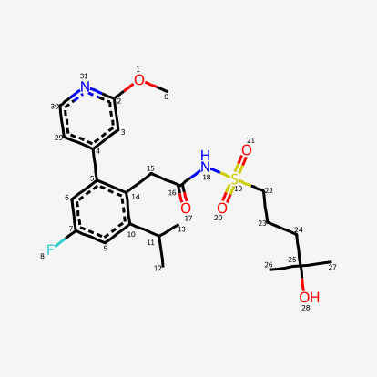 COc1cc(-c2cc(F)cc(C(C)C)c2CC(=O)NS(=O)(=O)CCCC(C)(C)O)ccn1